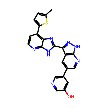 Cc1ccc(-c2ccnc3[nH]c(-c4n[nH]c5ncc(-c6cncc(O)c6)cc45)nc23)s1